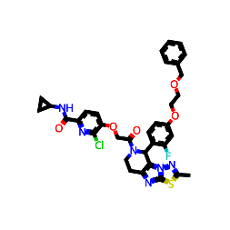 Cc1nn2c3c(nc2s1)CCN(C(=O)COc1ccc(C(=O)NC2CC2)nc1Cl)C3c1ccc(OCCOCc2ccccc2)cc1F